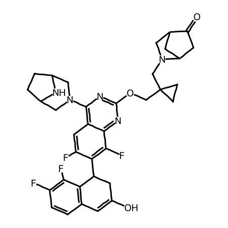 O=C1CC2CC1CN2CC1(COc2nc(N3CC4CCC(C3)N4)c3cc(F)c(C4CC(O)=Cc5ccc(F)c(F)c54)c(F)c3n2)CC1